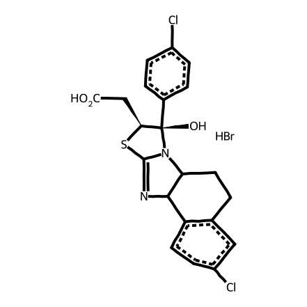 Br.O=C(O)C[C@@H]1SC2=NC3c4ccc(Cl)cc4CCC3N2[C@@]1(O)c1ccc(Cl)cc1